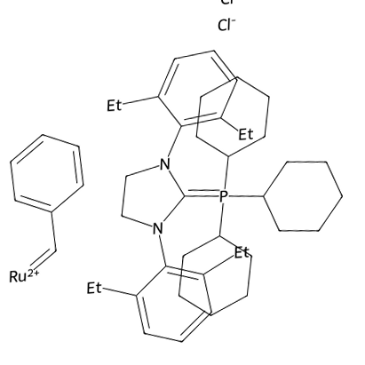 CCc1cccc(CC)c1N1CCN(c2c(CC)cccc2CC)C1=P(C1CCCCC1)(C1CCCCC1)C1CCCCC1.[Cl-].[Cl-].[Ru+2]=[CH]c1ccccc1